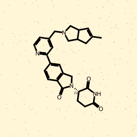 CC1=CC2CN(Cc3ccnc(-c4ccc5c(c4)CN([C@H]4CCC(=O)NC4=O)C5=O)c3)CC2C1